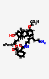 CCCCC[C@@H](CC[C@@H]1[C@H]2Cc3cccc(OCC(=O)O)c3C[C@H]2C[C@H]1O)OC(=O)C1CCCCC1C(=O)NCCCCCCN